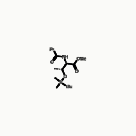 COC(=O)[C@H](NC(=O)C(C)C)[C@@H](C)O[Si](C)(C)C(C)(C)C